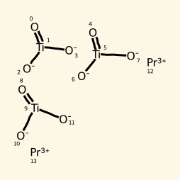 [O]=[Ti]([O-])[O-].[O]=[Ti]([O-])[O-].[O]=[Ti]([O-])[O-].[Pr+3].[Pr+3]